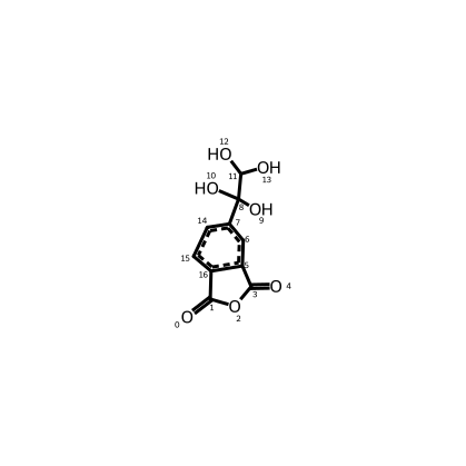 O=C1OC(=O)c2cc(C(O)(O)C(O)O)ccc21